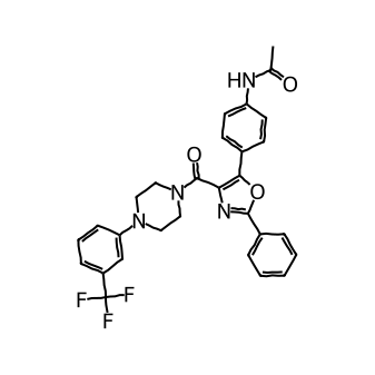 CC(=O)Nc1ccc(-c2oc(-c3ccccc3)nc2C(=O)N2CCN(c3cccc(C(F)(F)F)c3)CC2)cc1